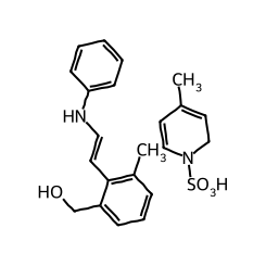 CC1=CCN(S(=O)(=O)O)C=C1.Cc1cccc(CO)c1C=CNc1ccccc1